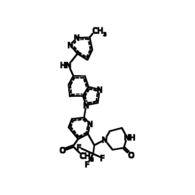 CC(=O)c1ccc(-n2cnc3cc(Nc4ccc(C)nn4)ccc32)nc1C(N1CCNC(=O)C1)C(F)(F)F